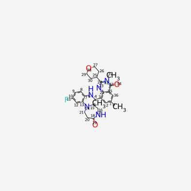 Cc1cc([C@@H](C)Nc2ccc(F)cc2N2CCNC(=O)CC2)c2nc(C3CCOCC3)n(C)c(=O)c2c1